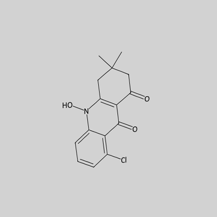 CC1(C)CC(=O)c2c(n(O)c3cccc(Cl)c3c2=O)C1